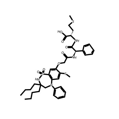 CCCCC1(CCCC)CN(c2ccccc2)c2cc(SC)c(OCC(=O)N[C@@H](C(=O)N[C@@H](CCSC)C(=O)O)c3ccccc3)cc2S(=O)(=O)N1